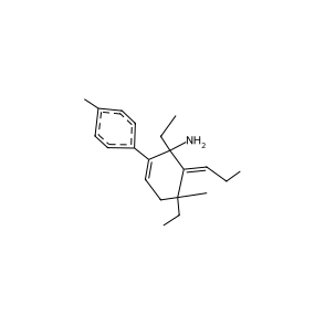 CC/C=C1\C(C)(CC)CC=C(c2ccc(C)cc2)C1(N)CC